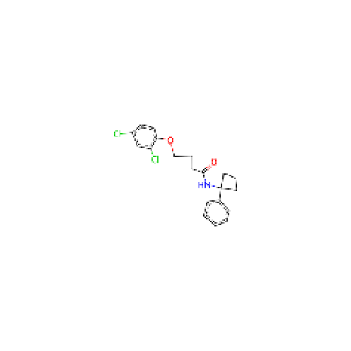 O=C(CCCOc1ccc(Cl)cc1Cl)NC1(c2ccccc2)CCC1